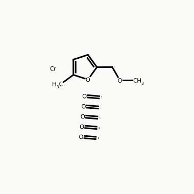 CO[C]c1ccc(C)o1.[C]=O.[C]=O.[C]=O.[C]=O.[C]=O.[Cr]